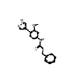 COc1cc(NC(=O)CCc2ccccc2)ccc1-c1cn[nH]c1